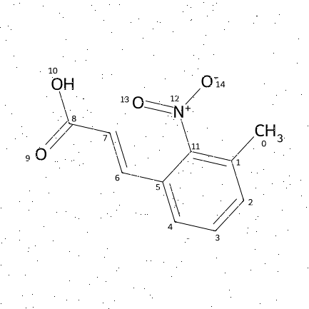 Cc1cccc(C=CC(=O)O)c1[N+](=O)[O-]